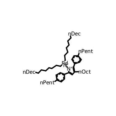 CCCCCCCCC1=C(c2ccc(CCCCC)cc2)[N+](=[N-])C(c2ccc(CCCCC)cc2)=C1.CCCCCCCCCCCCCCCC[CH2][Pd][CH2]CCCCCCCCCCCCCCCC